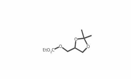 CCOC(=O)OCC1COC(C)(C)O1